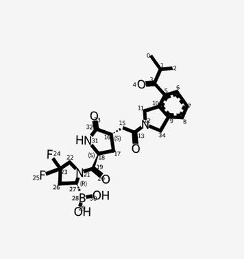 CC(C)C(=O)c1cccc2c1CN(C(=O)C[C@@H]1C[C@@H](C(=O)N3CC(F)(F)C[C@H]3B(O)O)NC1=O)C2